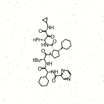 CCC[C@H](NC(=O)[C@@H]1[C@@H](C2CCCCC2)CCN1C(=O)[C@@H](NC(=O)[C@@H](NC(=O)c1cnccn1)C1CCCCC1)C(C)(C)C)C(=O)C(=O)NC1CC1